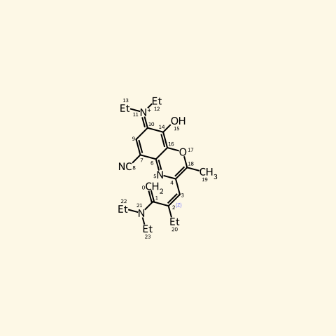 C=C(/C(=C\c1nc2c(C#N)cc(=[N+](CC)CC)c(O)c-2oc1C)CC)N(CC)CC